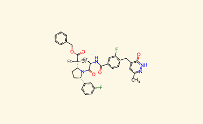 CC[C@@H](NC(=O)c1ccc(Cc2cc(C)n[nH]c2=O)c(F)c1)C(=O)N1[C@H](c2cccc(F)c2)CC[C@@H]1C(CC)(CC)C(=O)OCc1ccccc1